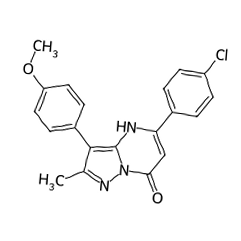 COc1ccc(-c2c(C)nn3c(=O)cc(-c4ccc(Cl)cc4)[nH]c23)cc1